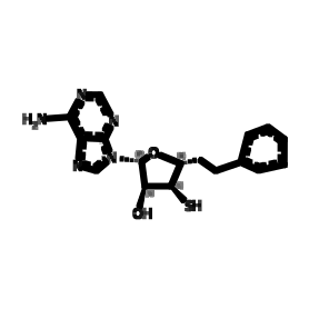 Nc1ncnc2c1ncn2[C@@H]1O[C@H](CCc2ccccc2)[C@@H](S)[C@H]1O